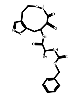 CC(C)C(NC(=O)OCc1ccccc1)C(=O)NC1Cc2sncc2CCCNC(=O)C1=O